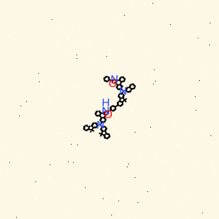 CC1(C)c2ccccc2-c2ccc(N(c3ccc4c(c3)C(C)(C)c3ccccc3-4)c3ccc4c5c(c6ccccc6c4c3)NC(c3ccc(-c4ccc6c(c4)-c4ccc(N(c7ccc8ccccc8c7)c7ccc8c(c7)c7ccccc7c7nc(-c9ccccc9)oc87)cc4C6(C)C)cc3)O5)cc21